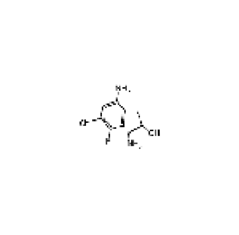 CC(O)CN.Nc1ccc(F)c(Cl)c1